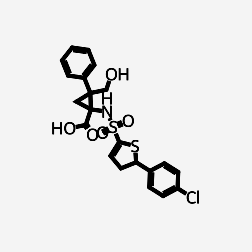 O=C(O)C1(NS(=O)(=O)C2=CCC(c3ccc(Cl)cc3)S2)CC1(CO)c1ccccc1